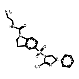 NCCNC(=O)N1CCc2cc(S(=O)(=O)N3C[C@H](c4ccccc4)N=C3N)ccc21